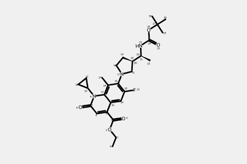 CCOC(=O)c1cc(=O)n(C2CC2)c2c(C)c(N3CC[C@@H]([C@H](C)NC(=O)OC(C)(C)C)C3)c(F)cc12